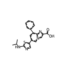 CC(C)Nc1ncc(-c2cc(-c3ccccc3)c3nc(C(=O)O)cn3c2)s1